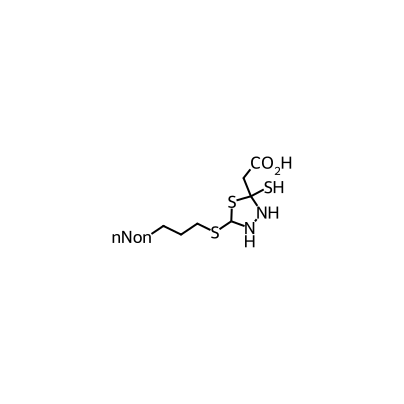 CCCCCCCCCCCCSC1NNC(S)(CC(=O)O)S1